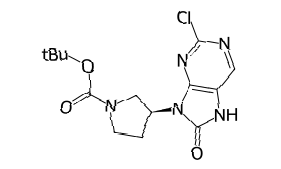 CC(C)(C)OC(=O)N1CC[C@H](n2c(=O)[nH]c3cnc(Cl)nc32)C1